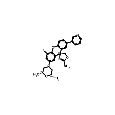 C[C@@H]1CN(c2cc(F)c3c(c2)[C@]2(COC(N)=N2)c2cc(-c4cccnc4)ccc2O3)C[C@H](C)O1